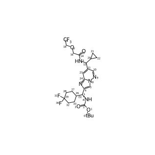 CC(C)(C)OC(=O)N[C@H](c1cn2ncc(C(NC(=O)COCC(F)(F)F)C3CC3)cc2n1)C1CCC(F)(F)CC1